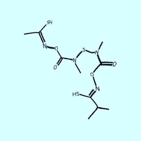 CC(S)=NOC(=O)N(C)SN(C)C(=O)ON=C(S)C(C)C